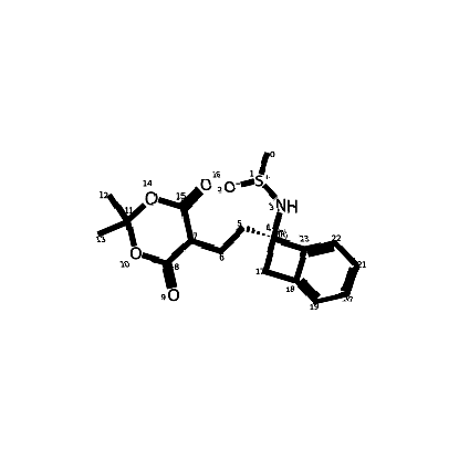 C[S+]([O-])N[C@]1(CCC2C(=O)OC(C)(C)OC2=O)Cc2ccccc21